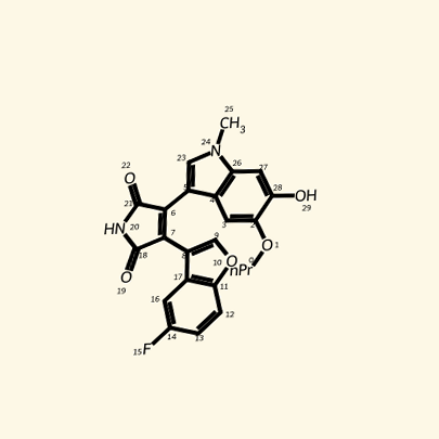 CCCOc1cc2c(C3=C(c4coc5ccc(F)cc45)C(=O)NC3=O)cn(C)c2cc1O